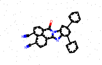 N#Cc1ccc2c(=O)n3c4cc(-c5ccccc5)cc(-c5ccccc5)c4nc3c3ccc(C#N)c1c23